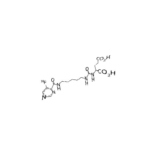 O=C(O)CC[C@H](NC(=O)NCCCCCNC(=O)c1ncncc1[18F])C(=O)O